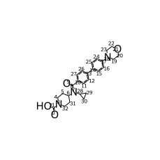 O=C(O)N1CCC(N(C(=O)c2ccc(-c3ccc(N4CCOCC4)cc3)cc2)C2CC2)CC1